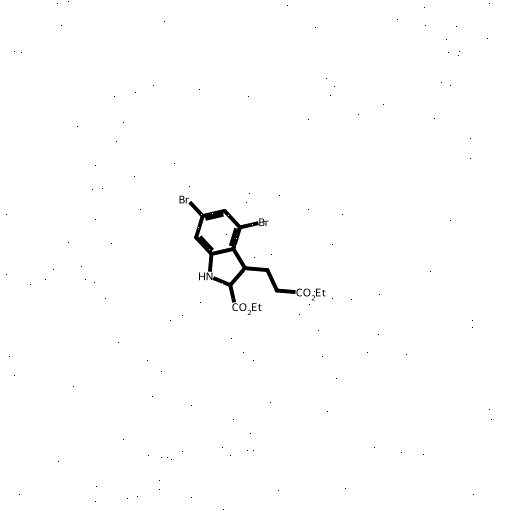 CCOC(=O)CCC1c2c(Br)cc(Br)cc2NC1C(=O)OCC